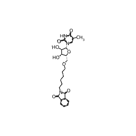 Cc1cn([C@@H]2O[C@H](COCCCCCCN3C(=O)c4ccccc4C3=O)[C@@H](O)[C@H]2O)c(=O)[nH]c1=O